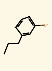 CCCc1[c]ccc(Br)c1